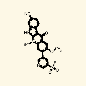 CC(C)n1c2cc(-c3cncc(S(=O)(=O)F)c3)c(OC(F)(F)F)cc2c(=O)c2c3ccc(C#N)cc3[nH]c21